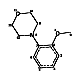 COc1cc[c]cc1N1CCOCC1